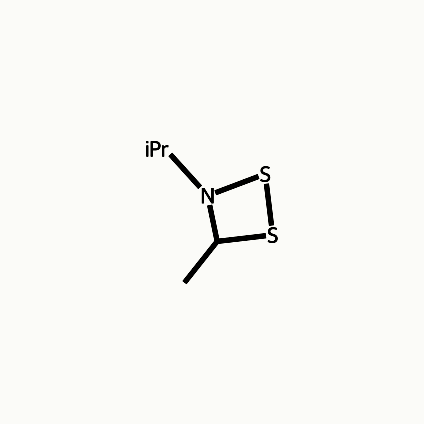 CC(C)N1SSC1C